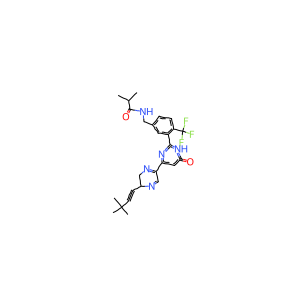 CC(C)C(=O)NCc1ccc(C(F)(F)F)c(-c2nc(C3=NCC(C#CC(C)(C)C)N=C3)cc(=O)[nH]2)c1